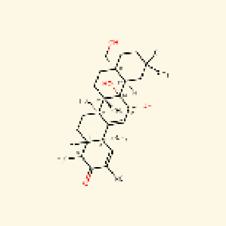 [C-]#[N+]C1=C[C@]2(C)C3=C[C@@H](O)[C@]4(O)[C@@H]5CC(C)(C)CC[C@]5(CO)CC[C@@]4(C)[C@]3(C)CC[C@H]2[C@H](C)C1=O